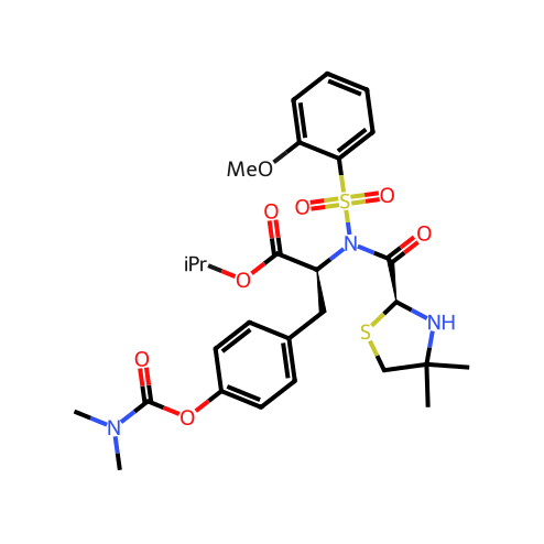 COc1ccccc1S(=O)(=O)N(C(=O)[C@H]1NC(C)(C)CS1)[C@@H](Cc1ccc(OC(=O)N(C)C)cc1)C(=O)OC(C)C